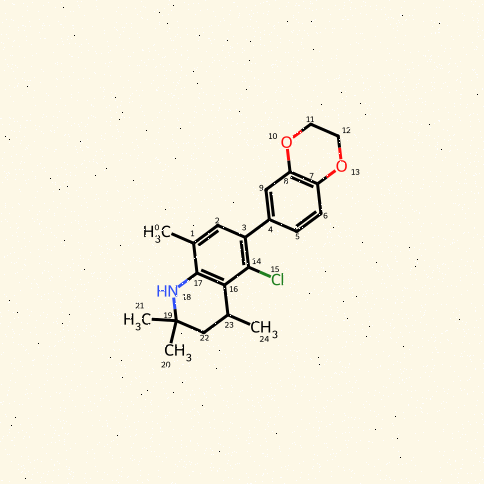 Cc1cc(-c2ccc3c(c2)OCCO3)c(Cl)c2c1NC(C)(C)CC2C